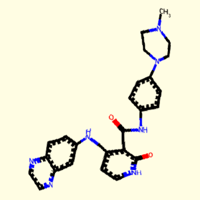 CN1CCN(c2ccc(NC(=O)c3c(Nc4ccc5nccnc5c4)cc[nH]c3=O)cc2)CC1